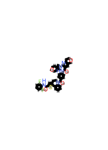 O=C(Nc1c(F)cccc1F)c1cc2c(s1)-c1ccccc1N(C(=O)c1ccc(NC(=O)c3cc4c(nc3N3CC5(CCOCC5)C3)CCOC4)cc1)CC2